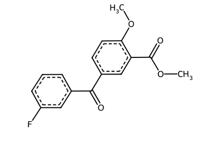 COC(=O)c1cc(C(=O)c2cccc(F)c2)ccc1OC